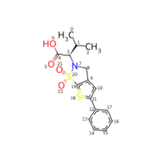 CC(C)[C@H](C(=O)O)N1Cc2cc(-c3ccccc3)sc2S1(=O)=O